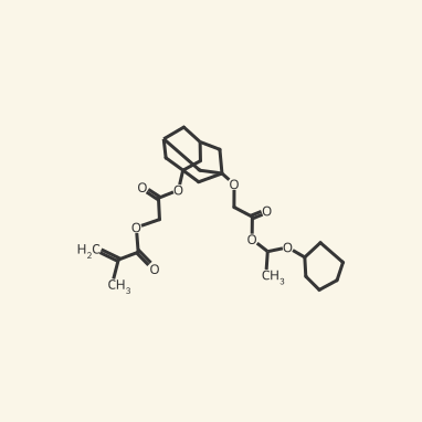 C=C(C)C(=O)OCC(=O)OC12CC3CC(CC(OCC(=O)OC(C)OC4CCCCC4)(C3)C1)C2